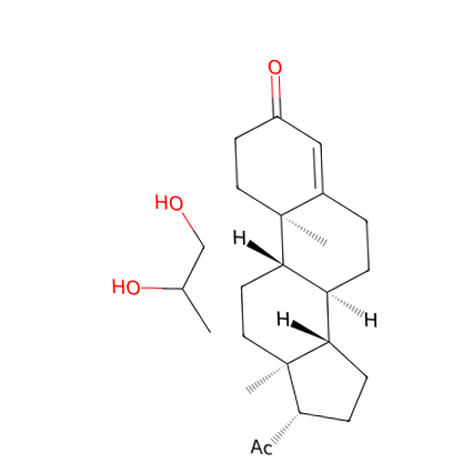 CC(=O)[C@H]1CC[C@H]2[C@@H]3CCC4=CC(=O)CC[C@]4(C)[C@H]3CC[C@]12C.CC(O)CO